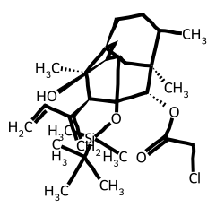 C=CC(=C)[C@@H]1C[C@@H](OC(=O)CCl)[C@]2(C)C(C)CC[C@]3(C[C@H](O)C(O[Si](C)(C)C(C)(C)C)C32)[C@H]1C